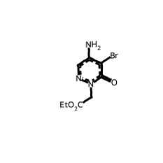 CCOC(=O)Cn1ncc(N)c(Br)c1=O